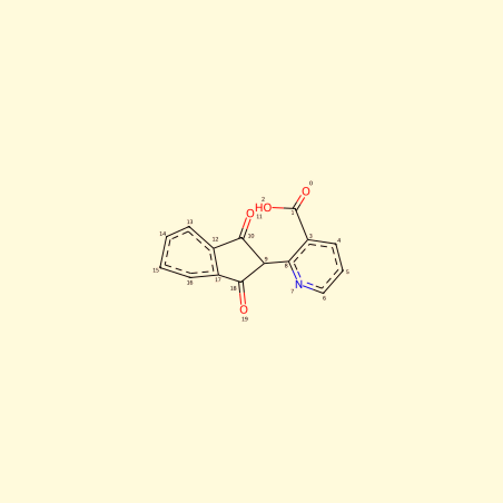 O=C(O)c1cccnc1C1C(=O)c2ccccc2C1=O